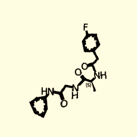 C[C@H](NC(=O)Cc1ccc(F)cc1)C(=O)NCC(=O)Nc1ccccc1